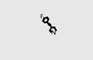 Fc1ccc(C#Cc2ccncc2)cc1